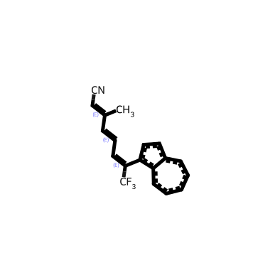 CC(/C=C/C=C(\c1ccc2cccccc1-2)C(F)(F)F)=C\C#N